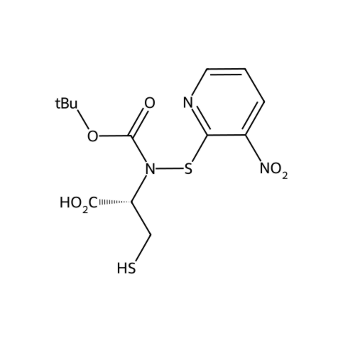 CC(C)(C)OC(=O)N(Sc1ncccc1[N+](=O)[O-])[C@H](CS)C(=O)O